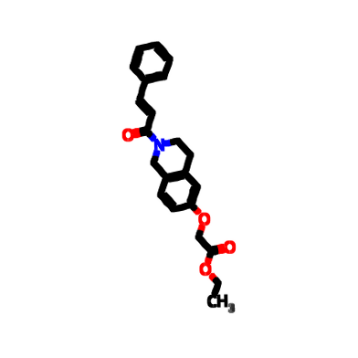 CCOC(=O)COc1ccc2c(c1)CCN(C(=O)C=Cc1ccccc1)C2